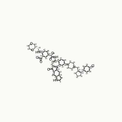 Cn1c(=O)c2nc3[nH]ccc3cc2n1-c1cc(N2CCN(CC3=C(c4ccc(Cl)cc4)CCC3)CC2)ccc1C(=O)NS(=O)(=O)c1ccc(NC[C@H]2COCCO2)c([N+](=O)[O-])c1